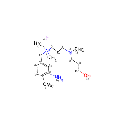 COc1ccc(C[N+](C)(C)CCCN(C=O)CCCO)cc1N.[I-]